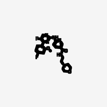 COc1cc(F)ccc1-c1nc(Nc2ccc(C(=O)NCCN3CCOCC3)cn2)ncc1F